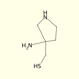 NC1(CS)CCNC1